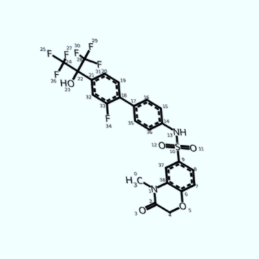 CN1C(=O)COc2ccc(S(=O)(=O)Nc3ccc(-c4ccc(C(O)(C(F)(F)F)C(F)(F)F)cc4F)cc3)cc21